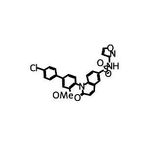 COc1cc(-c2ccc(Cl)cc2)ccc1-n1c(=O)ccc2cc(S(=O)(=O)Nc3ccon3)ccc21